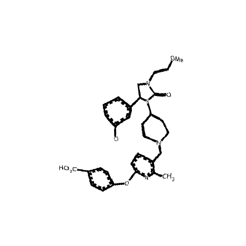 COCCN1CC(c2cccc(Cl)c2)N(C2CCN(Cc3ccc(Oc4ccc(C(=O)O)cc4)nc3C)CC2)C1=O